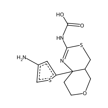 Nc1csc(C23CCOCC2CSC(NC(=O)O)=N3)c1